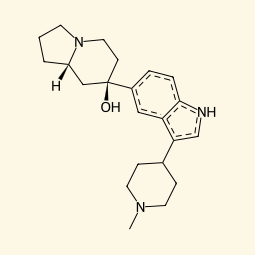 CN1CCC(c2c[nH]c3ccc([C@@]4(O)CCN5CCC[C@H]5C4)cc23)CC1